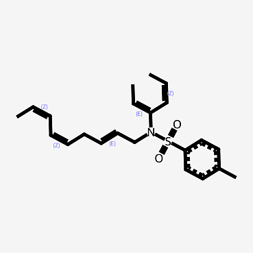 C/C=C\C=C/C/C=C/CN(C(/C=C\C)=C/C)S(=O)(=O)c1ccc(C)cc1